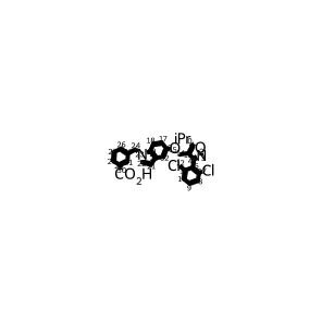 CC(C)c1onc(-c2c(Cl)cccc2Cl)c1COc1ccc2c(ccn2Cc2cccc(C(=O)O)c2)c1